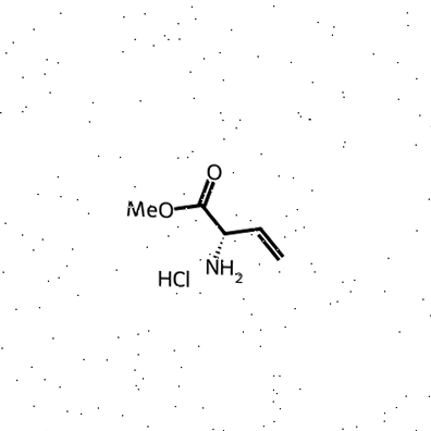 C=C[C@H](N)C(=O)OC.Cl